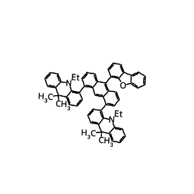 CCN1c2ccccc2C(C)(C)c2cccc(-c3cccc4c(-c5cccc6c5oc5ccccc56)c5cccc(-c6cccc7c6N(CC)c6ccccc6C7(C)C)c5cc34)c21